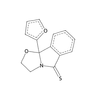 S=C1c2ccccc2C2(c3ccco3)OCCN12